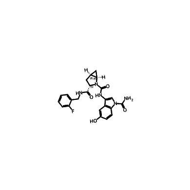 NC(=O)n1cc(NC(=O)N2[C@@H]3C[C@@H]3C[C@H]2C(=O)NCc2ccccc2F)c2cc(O)ccc21